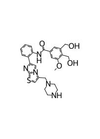 COc1cc(C(=O)Nc2ccccc2-c2cn3c(CN4CCNCC4)csc3n2)cc(CO)c1CO